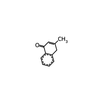 CC1=CC(=O)c2ccccc2C1